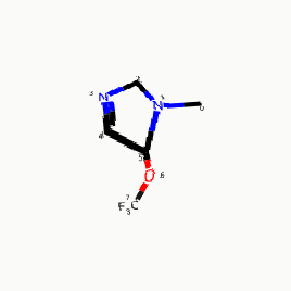 CN1[C]N=CC1OC(F)(F)F